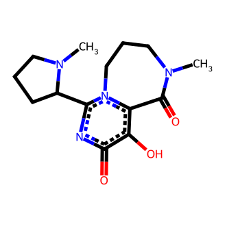 CN1CCCn2c(C3CCCN3C)nc(=O)c(O)c2C1=O